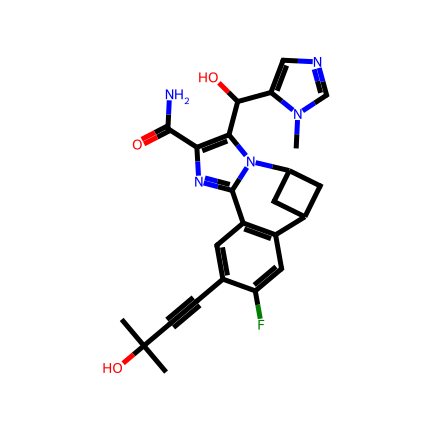 Cn1cncc1C(O)c1c(C(N)=O)nc2n1C1CC(C1)c1cc(F)c(C#CC(C)(C)O)cc1-2